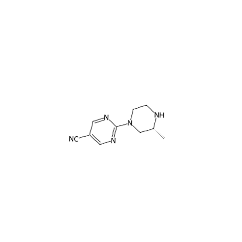 C[C@@H]1CN(c2ncc(C#N)cn2)CCN1